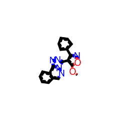 COc1onc(-c2ccccc2)c1-c1nnc2c3ccccc3cnn12